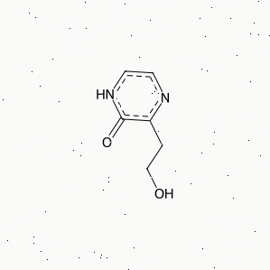 O=c1[nH]ccnc1CCO